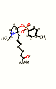 COC(=O)CCCC=CC[C@@H]1C(OS(=O)(=O)c2ccc(C)cc2)CCN1C(=O)O